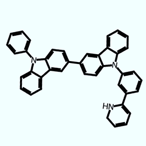 C1=CCNC(c2cccc(-n3c4ccccc4c4cc(-c5ccc6c(c5)c5ccccc5n6-c5ccccc5)ccc43)c2)=C1